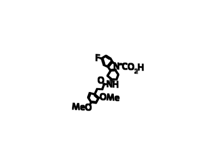 COc1ccc(CCC(=O)N[C@@H]2CCc3c(c4cc(F)ccc4n3CC(=O)O)C2)c(OC)c1